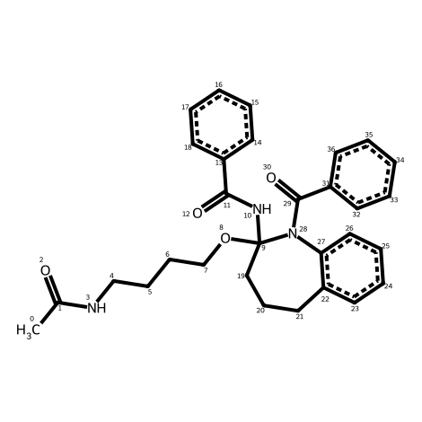 CC(=O)NCCCCOC1(NC(=O)c2ccccc2)CCCc2ccccc2N1C(=O)c1ccccc1